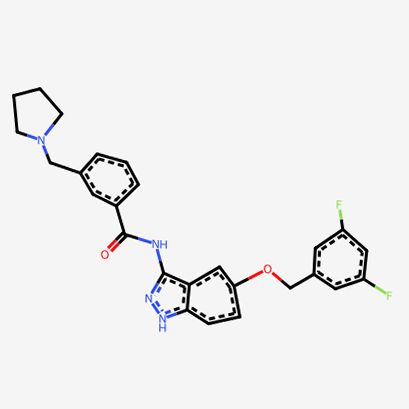 O=C(Nc1n[nH]c2ccc(OCc3cc(F)cc(F)c3)cc12)c1cccc(CN2CCCC2)c1